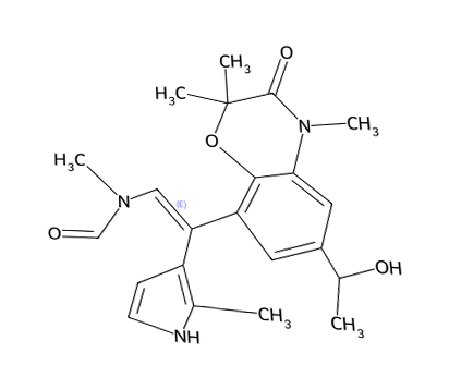 Cc1[nH]ccc1/C(=C\N(C)C=O)c1cc(C(C)O)cc2c1OC(C)(C)C(=O)N2C